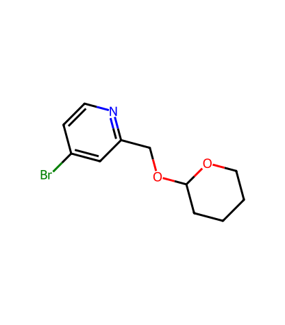 Brc1ccnc(COC2CCCCO2)c1